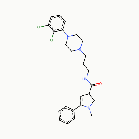 CN1CC(C(=O)NCCCN2CCN(c3cccc(Cl)c3Cl)CC2)C=C1c1ccccc1